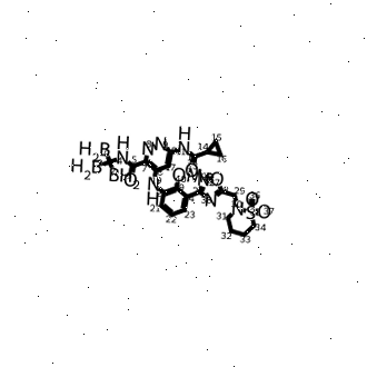 BC(B)(B)NC(=O)c1nnc(NC(=O)C2CC2)cc1Nc1cccc(-c2noc(CN3CCCCS3(=O)=O)n2)c1OC